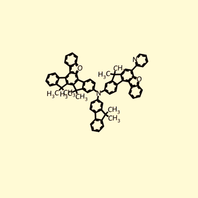 CC1(C)c2ccccc2-c2ccc(N(c3ccc4c(c3)C(C)(C)c3cc(-c5ccccn5)c5oc6ccccc6c5c3-4)c3ccc4c(c3)C(C)(C)c3c5c(c6c(oc7ccccc76)c3-4)-c3ccccc3C5(C)C)cc21